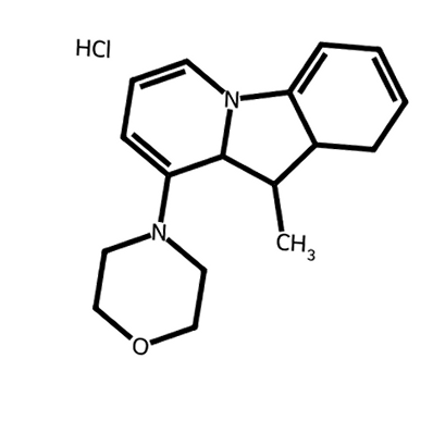 CC1C2CC=CC=C2N2C=CC=C(N3CCOCC3)C12.Cl